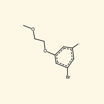 [CH2]c1cc(Br)cc(OCCOC)c1